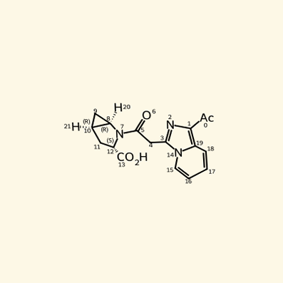 CC(=O)c1nc(CC(=O)N2[C@@H]3C[C@@H]3C[C@H]2C(=O)O)n2ccccc12